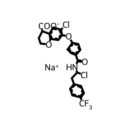 O=C(NC(Cl)Cc1ccc(C(F)(F)F)cc1)c1ccc(Oc2cc3c(cc2Cl)C(C(=O)[O-])CCO3)cc1.[Na+]